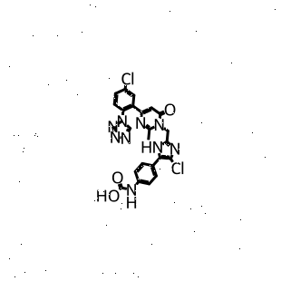 Cc1nc(-c2cc(Cl)ccc2-n2cnnn2)cc(=O)n1Cc1nc(Cl)c(-c2ccc(NC(=O)O)cc2)[nH]1